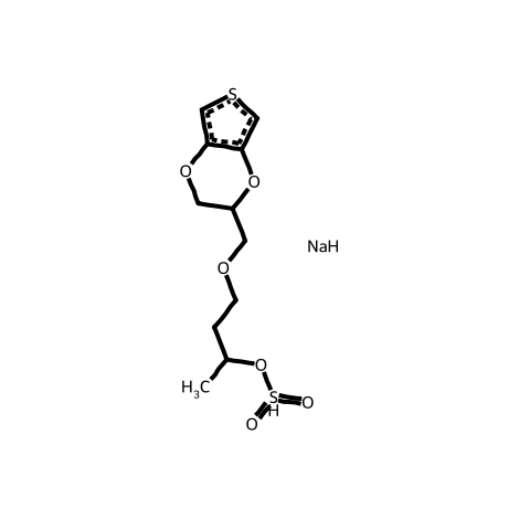 CC(CCOCC1COc2cscc2O1)O[SH](=O)=O.[NaH]